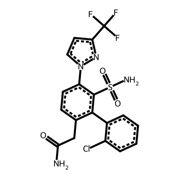 NC(=O)Cc1ccc(-n2ccc(C(F)(F)F)n2)c(S(N)(=O)=O)c1-c1ccccc1Cl